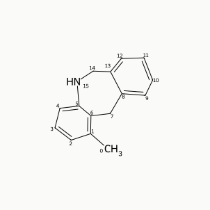 Cc1cccc2c1Cc1ccccc1CN2